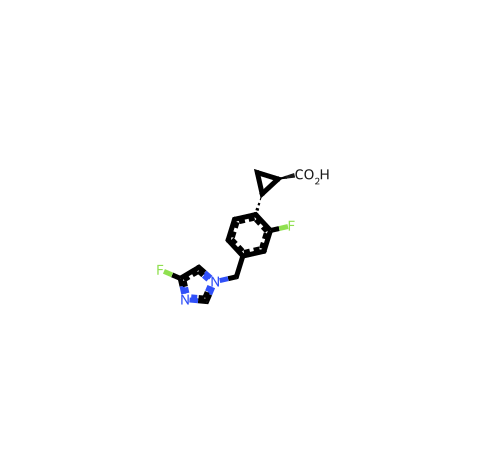 O=C(O)[C@@H]1C[C@H]1c1ccc(Cn2cnc(F)c2)cc1F